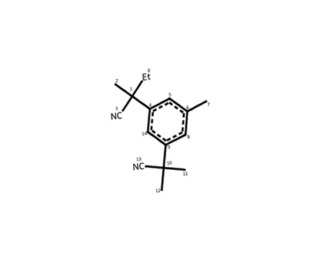 CCC(C)(C#N)c1cc(C)cc(C(C)(C)C#N)c1